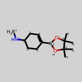 BNC1CC=C(B2OC(C)(C)C(C)(C)O2)CC1